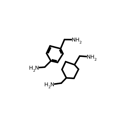 NCC1CCC(CN)CC1.NCc1ccc(CN)cc1